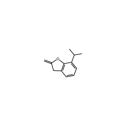 C=C1Cc2cccc(C(C)C)c2O1